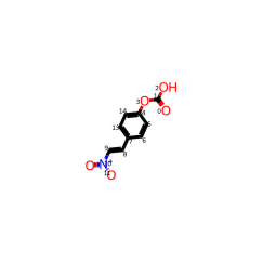 O=C(O)Oc1ccc(C=C[N+](=O)[O-])cc1